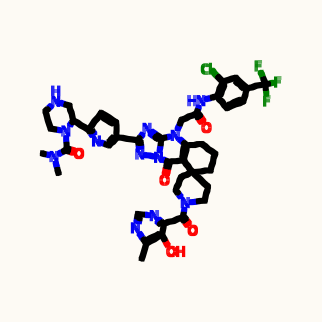 Cc1ncnc(C(=O)N2CCC3(CCCc4c3c(=O)n3nc(-c5ccc(C6CNCCN6C(=O)N(C)C)nc5)nc3n4CC(=O)Nc3ccc(C(F)(F)F)cc3Cl)CC2)c1O